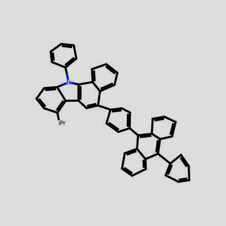 CC(C)c1cccc2c1c1cc(-c3ccc(-c4c5ccccc5c(-c5ccccc5)c5ccccc45)cc3)c3ccccc3c1n2-c1ccccc1